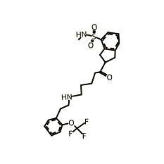 CNS(=O)(=O)c1cccc2c1CC(C(=O)CCCCNCCc1ccccc1OC(F)(F)F)C2